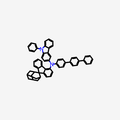 c1ccc(-c2ccc(-c3ccc(N(c4ccc5c(c4)c4ccccc4n5-c4ccccc4)c4cccc5c4-c4ccccc4C54C5CC6CC(C5)CC4C6)cc3)cc2)cc1